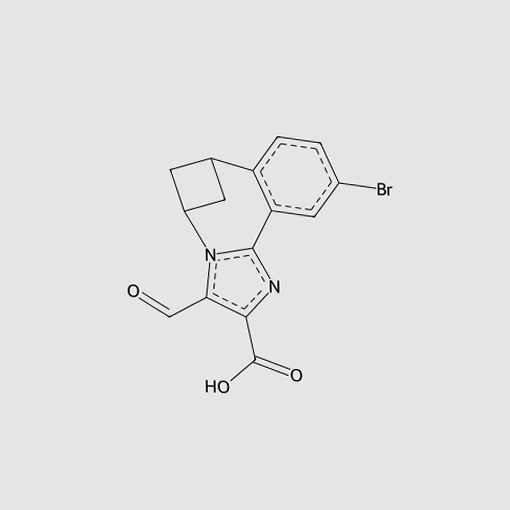 O=Cc1c(C(=O)O)nc2n1C1CC(C1)c1ccc(Br)cc1-2